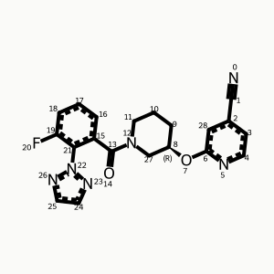 N#Cc1ccnc(O[C@@H]2CCCN(C(=O)c3cccc(F)c3-n3nccn3)C2)c1